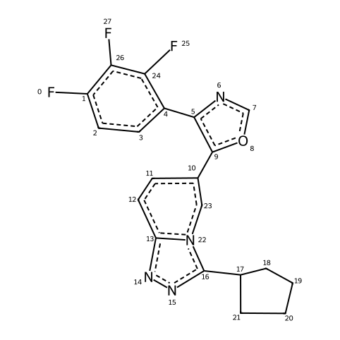 Fc1ccc(-c2ncoc2-c2ccc3nnc(C4CCCC4)n3c2)c(F)c1F